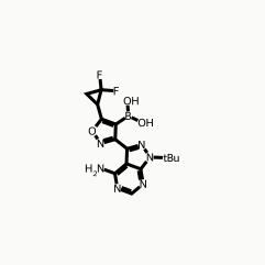 CC(C)(C)n1nc(-c2noc(C3CC3(F)F)c2B(O)O)c2c(N)ncnc21